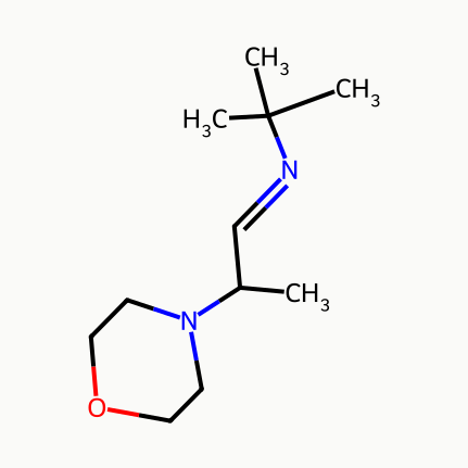 CC(/C=N/C(C)(C)C)N1CCOCC1